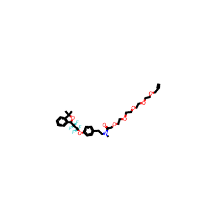 C#CCOCCOCCOCCOCCOCC(=O)N(C)CCc1ccc(OC(F)(F)C(F)(F)C2OC(C)(C)c3ccccc32)cc1